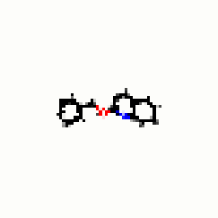 c1ccc(COc2ccc3c(n2)CCCC3)cc1